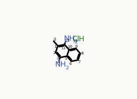 Cc1cc(N)c2ccccc2c1N.Cl